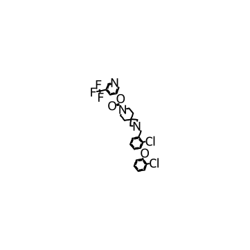 O=C(Oc1cncc(C(F)(F)F)c1)N1CCC2(CC1)CN(Cc1cccc(Oc3ccccc3Cl)c1Cl)C2